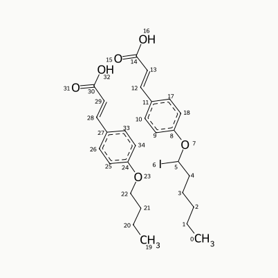 CCCCCC(I)Oc1ccc(C=CC(=O)O)cc1.CCCCOc1ccc(C=CC(=O)O)cc1